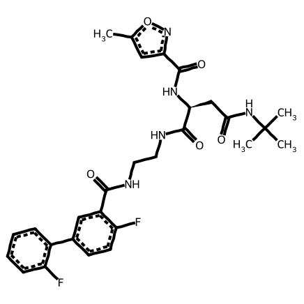 Cc1cc(C(=O)N[C@@H](CC(=O)NC(C)(C)C)C(=O)NCCNC(=O)c2cc(-c3ccccc3F)ccc2F)no1